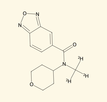 [2H]C([2H])([2H])N(C(=O)c1ccc2nonc2c1)C1CCOCC1